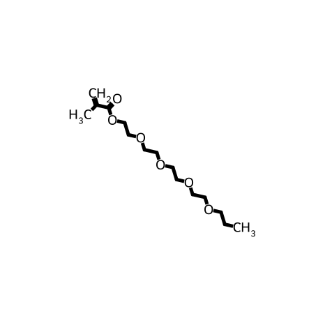 C=C(C)C(=O)OCCOCCOCCOCCOCCC